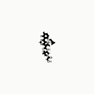 Cc1ccc(OCC2CC2)c(-c2ncnc3c(C(=O)N[C@@H]4CN(C(=O)CO)CC4(C)C)c(C)[nH]c23)c1F